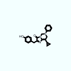 O=C1C(Cc2ccc(O)cc2)=NC2=C(C3CC3)CN(c3ccccc3)CN12